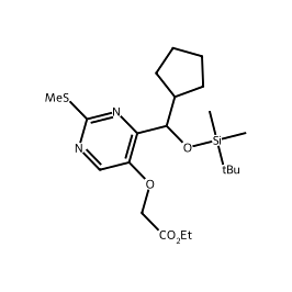 CCOC(=O)COc1cnc(SC)nc1C(O[Si](C)(C)C(C)(C)C)C1CCCC1